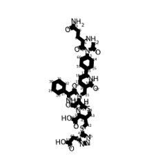 CC(=O)N(C(=O)[C@@H](N)CCC(N)=O)c1ccc(-c2ccc(CN(C(=O)C(N)c3ccccc3)C3C(=O)N4C(C(=O)O)=C(CSc5nnnn5CC(=O)O)CS[C@@H]34)c(=O)[nH]2)cc1